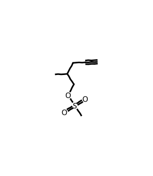 C#CCC(C)COS(C)(=O)=O